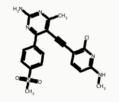 CNc1ccc(C#Cc2c(C)nc(N)nc2-c2ccc(S(C)(=O)=O)cc2)c(Cl)n1